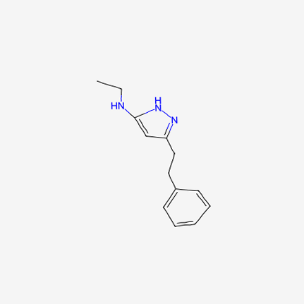 CCNc1cc(CCc2ccccc2)n[nH]1